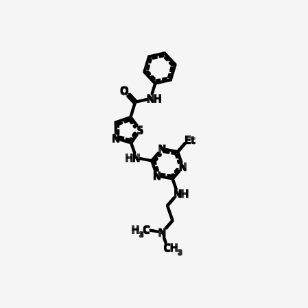 CCc1nc(NCCN(C)C)nc(Nc2ncc(C(=O)Nc3ccccc3)s2)n1